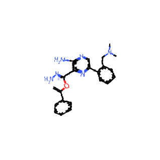 C=C(O/C(=N\N)c1nc(-c2ccccc2CN(C)C)cnc1N)c1ccccc1